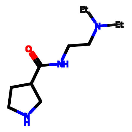 CCN(CC)CCNC(=O)C1CCNC1